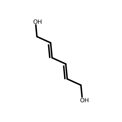 OCC=CC=CCO